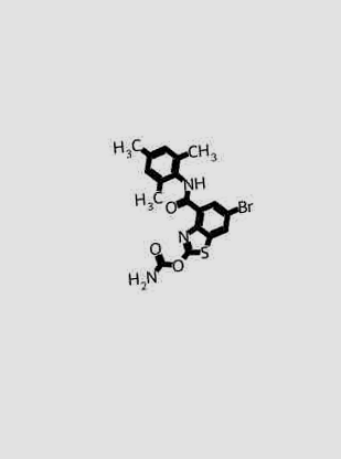 Cc1cc(C)c(NC(=O)c2cc(Br)cc3sc(OC(N)=O)nc23)c(C)c1